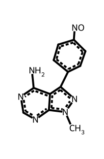 Cn1nc(-c2ccc(N=O)cc2)c2c(N)ncnc21